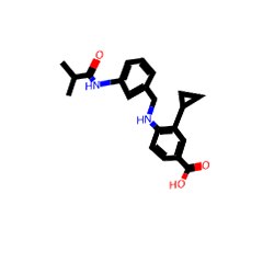 CC(C)C(=O)Nc1cccc(CNc2ccc(C(=O)O)cc2C2CC2)c1